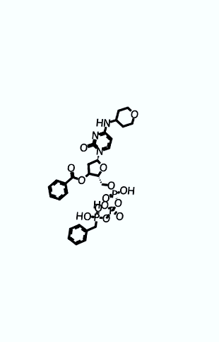 O=C(OC1C[C@H](n2ccc(NC3CCOCC3)nc2=O)O[C@@H]1COP(=O)(O)OP(=O)(O)OP(=O)(O)Cc1ccccc1)c1ccccc1